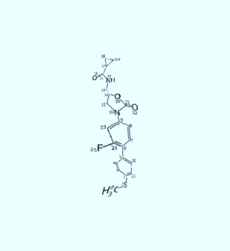 CSc1ccc(-c2ccc(N3C[C@H](CNC(=O)C4CC4)OC3=O)cc2F)cc1